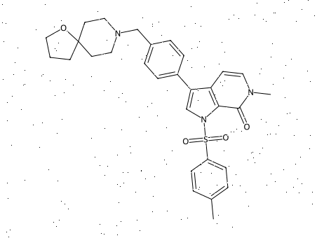 Cc1ccc(S(=O)(=O)n2cc(-c3ccc(CN4CCC5(CCCO5)CC4)cc3)c3ccn(C)c(=O)c32)cc1